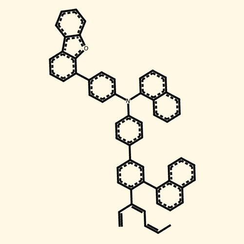 C=C/C(=C\C=C/C)c1ccc(-c2ccc(N(c3ccc(-c4cccc5c4oc4ccccc45)cc3)c3cccc4ccccc34)cc2)cc1-c1cccc2ccccc12